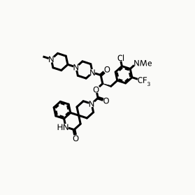 CNc1c(Cl)cc(C[C@@H](OC(=O)N2CCC3(CC2)CC(=O)Nc2ccccc23)C(=O)N2CCN(C3CCN(C)CC3)CC2)cc1C(F)(F)F